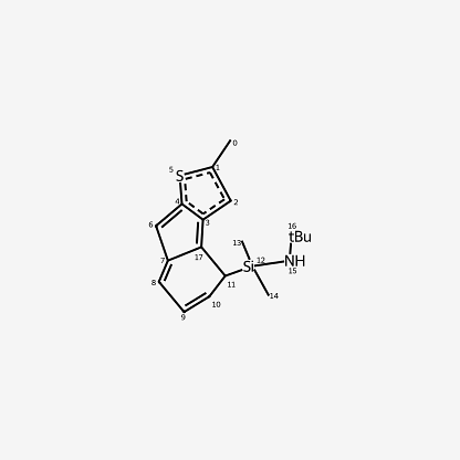 Cc1cc2c(s1)=CC1=CC=CC([Si](C)(C)NC(C)(C)C)C=21